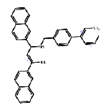 C/C=C\C(=C/N)c1ccc(CNC(/C=C(\N)c2ccc3ccccc3c2)c2ccc3ccccc3c2)cc1